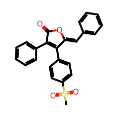 CS(=O)(=O)c1ccc(C2=C(c3ccccc3)C(=O)O/C2=C\c2ccccc2)cc1